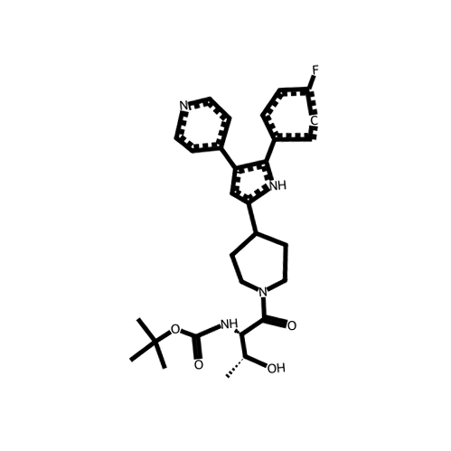 C[C@@H](O)[C@H](NC(=O)OC(C)(C)C)C(=O)N1CCC(c2cc(-c3ccncc3)c(-c3ccc(F)cc3)[nH]2)CC1